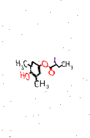 CCC(I)C(=O)Oc1cc(C)c(O)c(C)c1